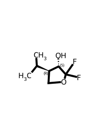 CC(C)[C@@H]1COC(F)(F)[C@H]1O